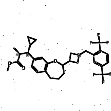 COC(=O)[C@@H](C)[C@H](c1ccc2c(c1)OC(C1CN(Cc3cc(C(F)(F)F)ccc3C(F)(F)F)C1)CCC2)C1CC1